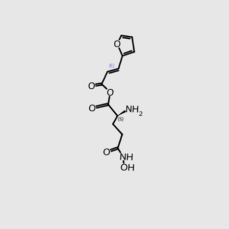 N[C@@H](CCC(=O)NO)C(=O)OC(=O)/C=C/c1ccco1